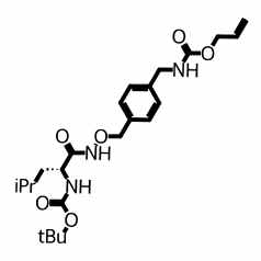 C=CCOC(=O)NCc1ccc(CONC(=O)[C@@H](CC(C)C)NC(=O)OC(C)(C)C)cc1